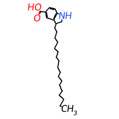 CCCCCCCCCCCCCCCCCCC1CNc2ccc(C(=O)O)cc21